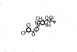 Cc1nn([C@@H]2CCN(C(=O)c3cc(Cl)cc(Cl)c3)C2)c2cc(F)c(C(=O)N[S+]([O-])C3CC3)cc12